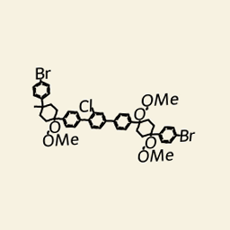 COCOC1(c2ccc(-c3ccc(-c4ccc(C5(OCOC)CCC(OCOC)(c6ccc(Br)cc6)CC5)cc4)cc3Cl)cc2)CCC(C)(c2ccc(Br)cc2)CC1